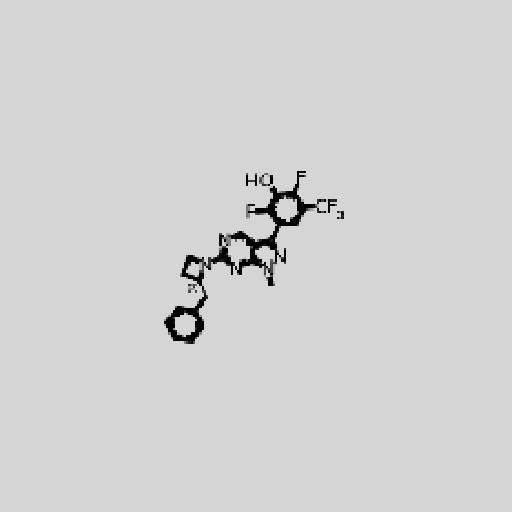 Cn1nc(-c2cc(C(F)(F)F)c(F)c(O)c2F)c2cnc(N3CC[C@@H]3Cc3ccccc3)nc21